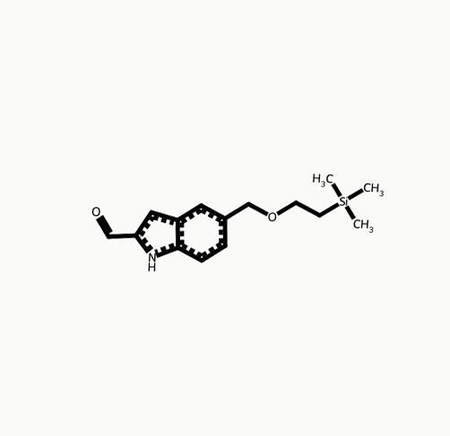 C[Si](C)(C)CCOCc1ccc2[nH]c(C=O)cc2c1